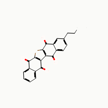 O=CCCc1ccc2c(=O)c3c(sc4c(=O)c5ccccc5c(=O)c43)c(=O)c2c1